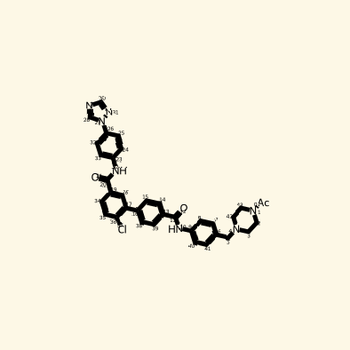 CC(=O)N1CCN(Cc2ccc(NC(=O)c3ccc(-c4cc(C(=O)Nc5ccc(-n6cncn6)cc5)ccc4Cl)cc3)cc2)CC1